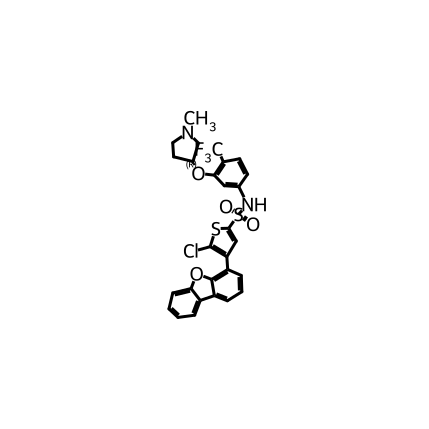 CN1CC[C@@H](Oc2cc(NS(=O)(=O)c3cc(-c4cccc5c4oc4ccccc45)c(Cl)s3)ccc2C(F)(F)F)C1